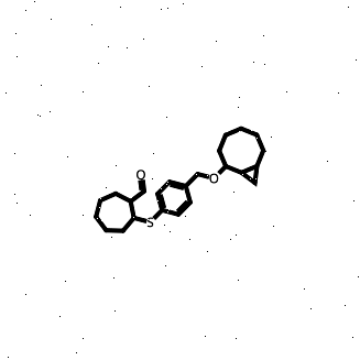 O=CC1CCCCCC1Sc1ccc(COC2CCCCCC3CC32)cc1